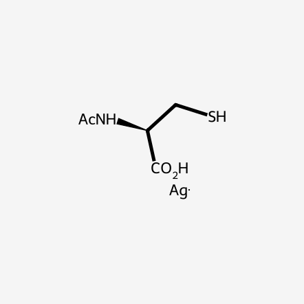 CC(=O)N[C@@H](CS)C(=O)O.[Ag]